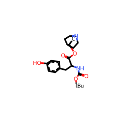 CC(C)(C)OC(=O)NC(Cc1ccc(O)cc1)C(=O)OC1CN2CCC1CC2